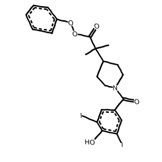 CC(C)(C(=O)OOc1ccccc1)C1CCN(C(=O)c2cc(I)c(O)c(I)c2)CC1